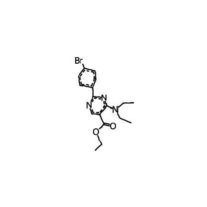 CCOC(=O)c1cnc(-c2ccc(Br)cc2)nc1N(CC)CC